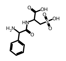 NC(C(=O)NC(CS(=O)(=O)O)C(=O)O)c1ccccc1